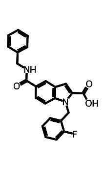 O=C(NCc1ccccc1)c1ccc2c(c1)cc(C(=O)O)n2Cc1ccccc1F